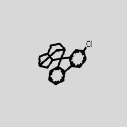 Clc1ccc2c(c1)C1(c3ccccc3-2)C2CCC3CC(C2)CC31